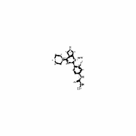 CCNC(=O)Nc1ccc(-c2nc3c(c(N4CCOCC4)n2)CNC3)c(F)c1.Cl